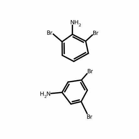 Nc1c(Br)cccc1Br.Nc1cc(Br)cc(Br)c1